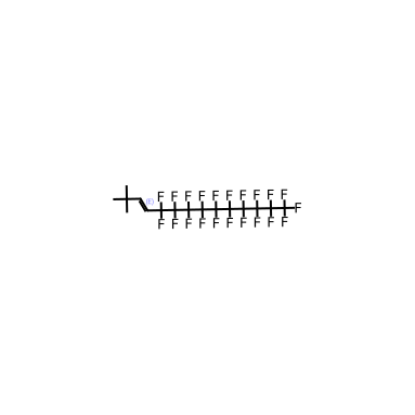 CC(C)(C)/C=C/C(F)(F)C(F)(F)C(F)(F)C(F)(F)C(F)(F)C(F)(F)C(F)(F)C(F)(F)C(F)(F)C(F)(F)F